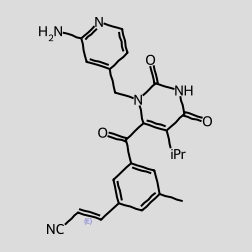 Cc1cc(/C=C/C#N)cc(C(=O)c2c(C(C)C)c(=O)[nH]c(=O)n2Cc2ccnc(N)c2)c1